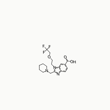 O=C(O)c1ccc2nc(CN3CCCCC3)n(CCOCC(F)(F)F)c2c1